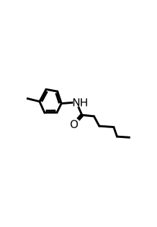 CCCCCC(=O)Nc1ccc(C)cc1